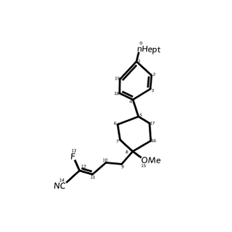 CCCCCCCc1ccc(C2CCC(CCC=C(F)C#N)(OC)CC2)cc1